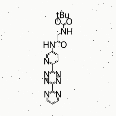 CC(C)(C)OC(=O)NCC(=O)Nc1ccc(-c2nnc(-c3ncccn3)nn2)nc1